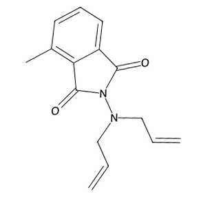 C=CCN(CC=C)N1C(=O)c2cccc(C)c2C1=O